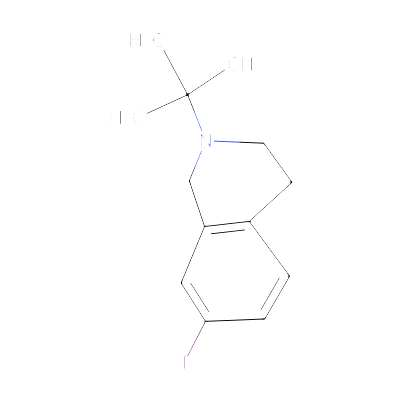 CC(C)(C)N1CCc2ccc(I)cc2C1